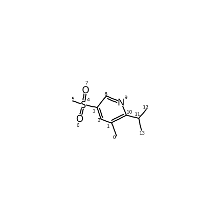 Cc1cc(S(C)(=O)=O)cnc1C(C)C